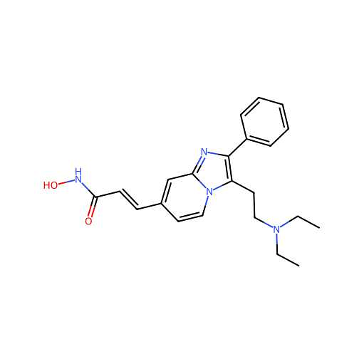 CCN(CC)CCc1c(-c2ccccc2)nc2cc(C=CC(=O)NO)ccn12